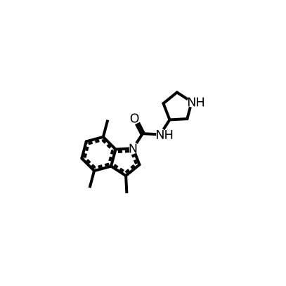 Cc1ccc(C)c2c1c(C)cn2C(=O)NC1CCNC1